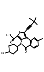 Cc1ccc(C(=O)N(c2cc(C#CC(C)(C)C)sc2C(=O)O)C2CCC(O)CC2)c(Br)c1